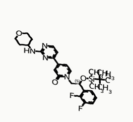 CC(C)(C)[Si](C)(C)O[C@H](Cn1ccc(-c2ccnc(NC3CCOCC3)n2)cc1=O)c1cccc(F)c1F